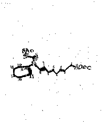 CCCCCCCCCCCCCCCCCCN(C(=S)[S][Mo])C1CCCCC1